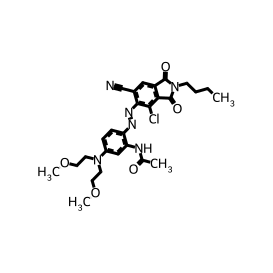 CCCCN1C(=O)c2cc(C#N)c(N=Nc3ccc(N(CCOC)CCOC)cc3NC(C)=O)c(Cl)c2C1=O